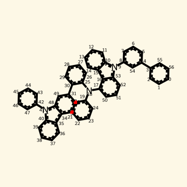 c1ccc(-c2cccc(-n3c4ccccc4c4c(N(c5ccccc5)c5ccccc5-c5ccc6c7ccccc7n(-c7ccccc7)c6c5)cccc43)c2)cc1